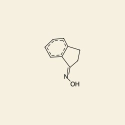 O/N=C1\CCc2ccccc21